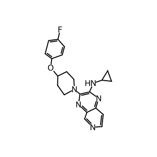 Fc1ccc(OC2CCN(c3nc4cnccc4nc3NC3CC3)CC2)cc1